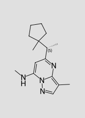 CNc1cc([C@@H](C)C2(C)CCCC2)nc2c(C)cnn12